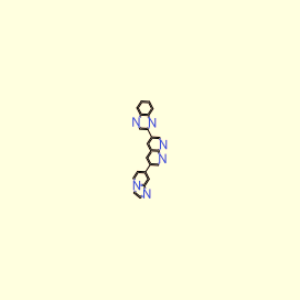 c1ccc2nc(-c3cnc4ncc(-c5ccn6ccnc6c5)cc4c3)cnc2c1